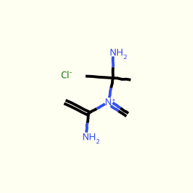 C=C(N)[N+](=C)C(C)(C)N.[Cl-]